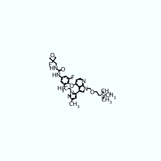 CCn1nc(C)cc1-c1cn(COCC[Si](C)(C)C)c2nccc(Oc3c(F)cc(NC(=O)NCC4(F)COC4)cc3F)c12